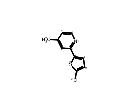 Cc1ccnc(-c2ccc(Cl)o2)c1